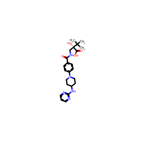 CC(C)(C)[C@](O)(CNC(=O)c1ccc(N2CCC(Nc3ncccn3)CC2)cc1)C(=O)O